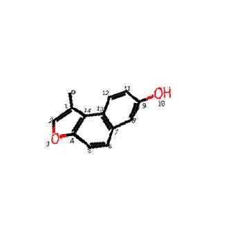 Cc1coc2ccc3cc(O)ccc3c12